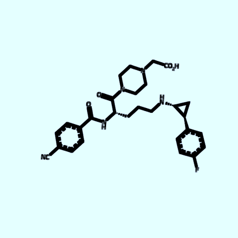 N#Cc1ccc(C(=O)N[C@@H](CCCN[C@@H]2C[C@H]2c2ccc(F)cc2)C(=O)N2CCN(CC(=O)O)CC2)cc1